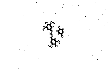 COC1=CC(=C/N=N/C=C2C=C(OC)C(=O)C(OC)=C2)C=C(OC)C1=O.O=C1C=CC(=O)C=C1